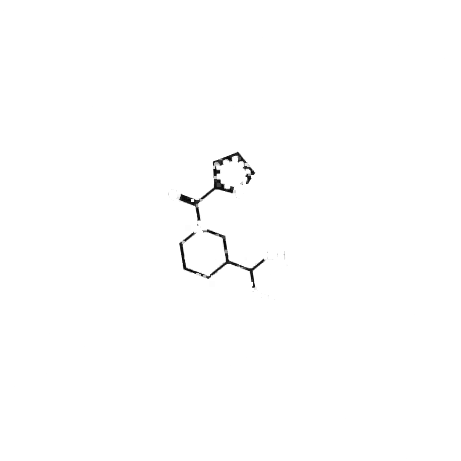 CC(C)C1CCCN(C(=O)c2ccco2)C1